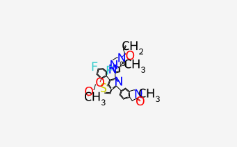 C=CC(=O)N1CCn2nc(-c3nc(-c4ccc5c(c4)CN(C)C(=O)C5)c4ccsc4c3-c3c(F)cc(F)cc3OCCOC)cc2[C@@H]1C